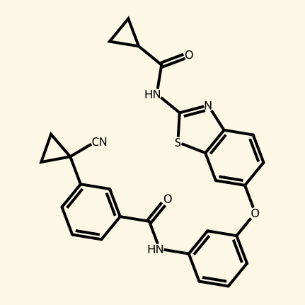 N#CC1(c2cccc(C(=O)Nc3cccc(Oc4ccc5nc(NC(=O)C6CC6)sc5c4)c3)c2)CC1